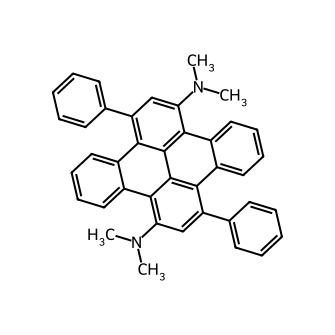 CN(C)c1cc(-c2ccccc2)c2c3ccccc3c3c(N(C)C)cc(-c4ccccc4)c4c5ccccc5c1c2c43